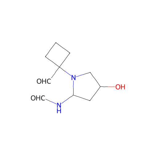 O=CNC1CC(O)CN1C1(C=O)CCC1